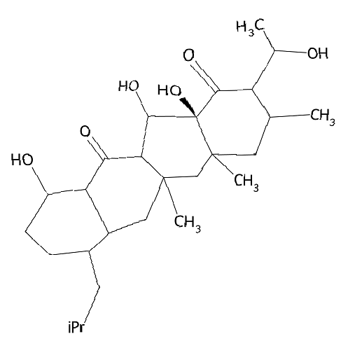 CC(C)CC1CCC(O)C2C(=O)C3C(O)[C@]4(O)C(=O)C(C(C)O)C(C)CC4(C)CC3(C)CC12